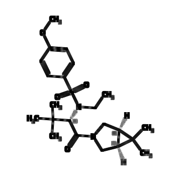 CCN([C@H](C(=O)N1C[C@@H]2[C@H](C1)C2(C)C)C(C)(C)C)S(=O)(=O)c1ccc(OC)cc1